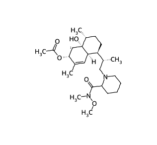 CON(C)C(=O)C1CCCCN1C[C@@H](C)[C@@H]1CC[C@@H](C)[C@]2(O)[C][C@@H](OC(C)=O)C(C)=C[C@H]12